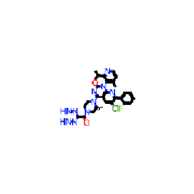 Cc1ccnc(C(C)C)c1-n1c(=O)nc(N2CCN(C(=O)C(N=N)N=N)C[C@@H]2C)c2cc(Cl)c(-c3ccccc3F)nc21